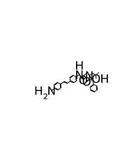 C[C@@H](O)CN(CC(=O)Nc1ccc(/C=C/c2ccc(N)cc2)cc1)C(=O)Cc1ccccc1